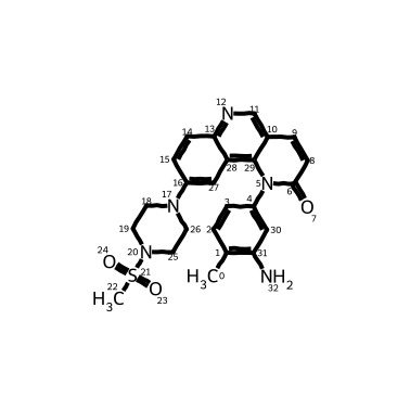 Cc1ccc(-n2c(=O)ccc3cnc4ccc(N5CCN(S(C)(=O)=O)CC5)cc4c32)cc1N